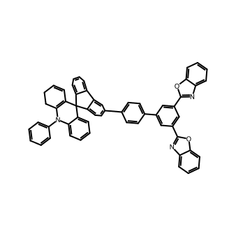 C1=CC2=C(CC1)N(c1ccccc1)c1ccccc1C21c2ccccc2-c2cc(-c3ccc(-c4cc(-c5nc6ccccc6o5)cc(-c5nc6ccccc6o5)c4)cc3)ccc21